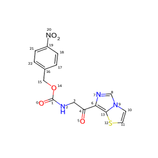 O=C(NCC(=O)c1ncn2ccsc12)OCc1ccc([N+](=O)[O-])cc1